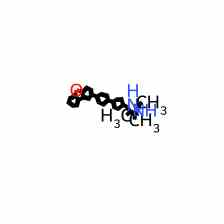 CC1=C(C)C(C2C=CC(c3ccc(-c4ccc5oc6ccccc6c5c4)cc3)=CC2)NC(C)N1